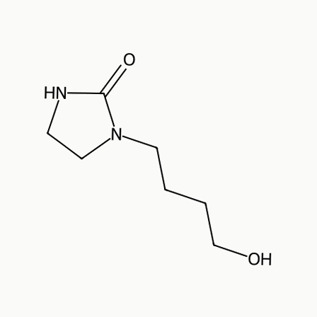 O=C1NCCN1CCCCO